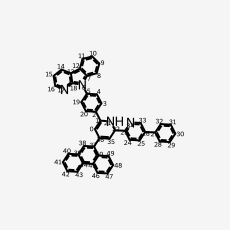 C1=C(c2ccc(-n3c4ccccc4c4cccnc43)cc2)NC(c2ccc(-c3ccccc3)cn2)C=C1c1cc2ccccc2c2ccccc12